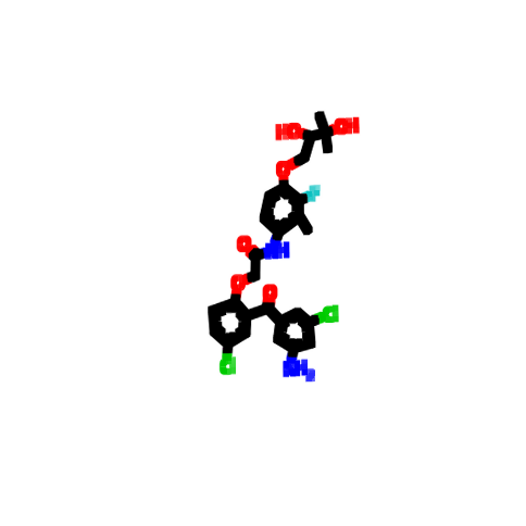 Cc1c(NC(=O)COc2ccc(Cl)cc2C(=O)c2cc(N)cc(Cl)c2)ccc(OCC(O)C(C)(C)O)c1F